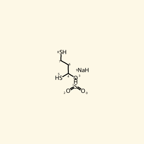 O=[SH](=O)OC(S)CCS.[NaH]